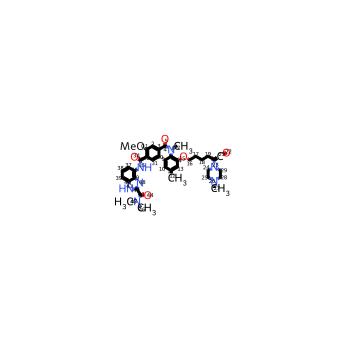 COc1cc(C(=O)N(C)c2ccc(C)cc2OCCCCC(=C=O)N2CCN(C)CC2)ccc1C(=O)Nc1cccc2[nH]c(C(=O)N(C)C)nc12